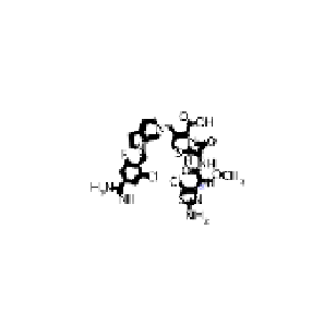 CO/N=C(\C(=O)N[C@@H]1C(=O)N2C(C(=O)O)=C(C[n+]3ccc4ccn(Cc5c(F)cc(C(=N)N)cc5Cl)c4c3)CS[C@H]12)c1nc(N)sc1Cl